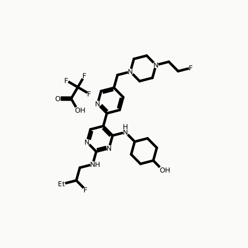 CCC(F)CNc1ncc(-c2ccc(CN3CCN(CCF)CC3)cn2)c(NC2CCC(O)CC2)n1.O=C(O)C(F)(F)F